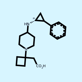 O=C(O)CC1(N2CCC(N[C@@H]3CC3c3ccccc3)CC2)CCC1